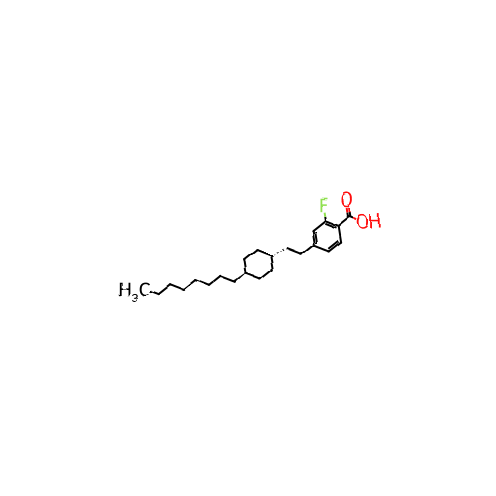 CCCCCCCC[C@H]1CC[C@H](CCc2ccc(C(=O)O)c(F)c2)CC1